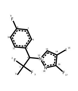 CC(F)(F)C(c1ccc(F)cc1)n1cc(I)c(F)n1